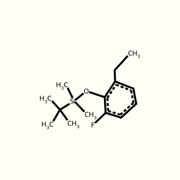 CCc1cccc(F)c1O[Si](C)(C)C(C)(C)C